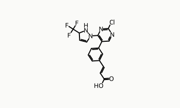 O=C(O)/C=C/c1cccc(-c2cnc(Cl)nc2N2C=CC(C(F)(F)F)N2)c1